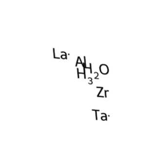 O.[AlH3].[La].[Ta].[Zr]